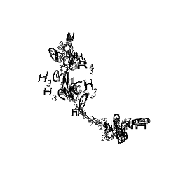 CCc1cc2c(cc1N1CC(C)N(CCCC(=O)NCCCCCCNc3cccc4c(=C=O)n(C5CCC(=C=O)NC5=C=O)c(=C=O)c34)C(C)C1)C(C)(C)c1[nH]c3cc(C#N)ccc3c1C2=C=O